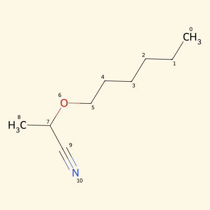 CCCCCCOC(C)C#N